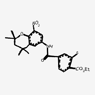 CCOC(=O)c1ccc(C(=O)Nc2cc([N+](=O)[O-])c3c(c2)C(C)(C)CC(C)(C)O3)cc1F